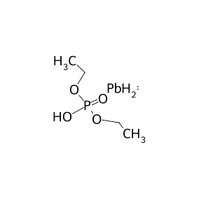 CCOP(=O)(O)OCC.[PbH2]